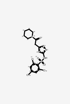 O=C(Cc1nnc(NS(=O)(=O)c2c(Cl)cc(Cl)cc2Cl)s1)N1CCCCC1